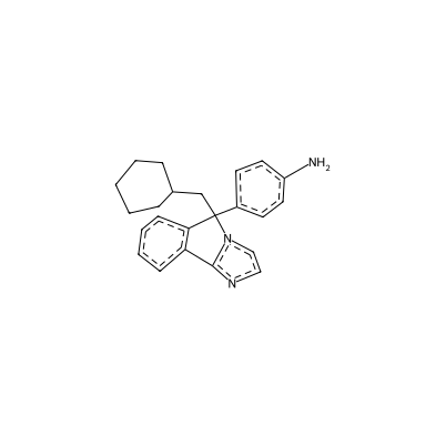 Nc1ccc(C2(CC3CCCCC3)c3ccccc3-c3nccn32)cc1